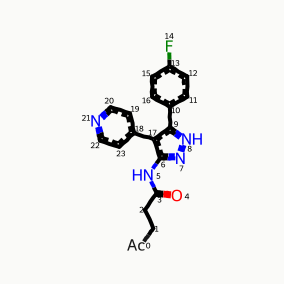 CC(=O)CCC(=O)Nc1n[nH]c(-c2ccc(F)cc2)c1-c1ccncc1